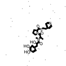 CC(C(=O)N1CCCC1C(=O)SCCc1ccncc1)N(C)C(=O)C(O)Cc1ccc(O)c(O)c1